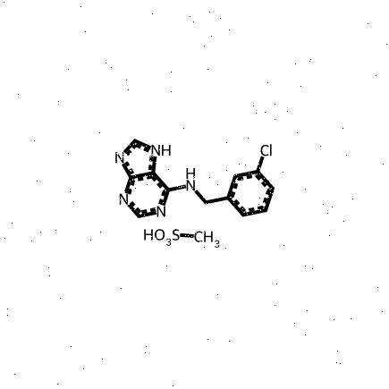 CS(=O)(=O)O.Clc1cccc(CNc2ncnc3nc[nH]c23)c1